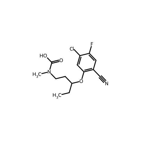 CCC(CCN(C)C(=O)O)Oc1cc(Cl)c(F)cc1C#N